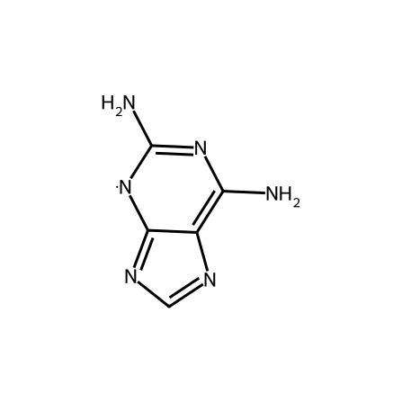 NC1=NC(N)=C2N=CN=C2[N]1